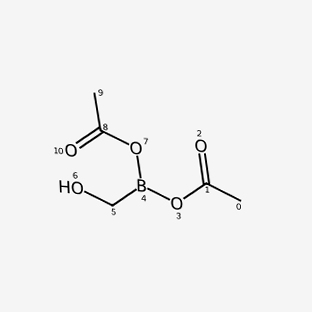 CC(=O)OB(CO)OC(C)=O